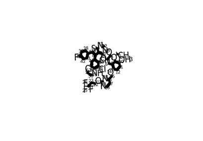 CCOC(=O)[C@@H](Cc1cc(O)ccc1OCc1ccnc(OCCC(F)(F)F)n1)Oc1ncnc2sc(-c3ccc(F)cc3)c(-c3ccc(NCCCl)c(Cl)c3C)c12